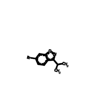 CC(C)c1noc2cc(Br)ccc12